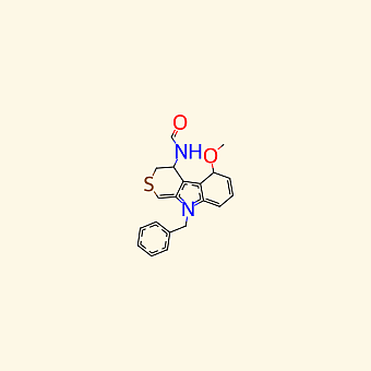 COC1C=CC=c2c1c1c(n2Cc2ccccc2)=CSCC1NC=O